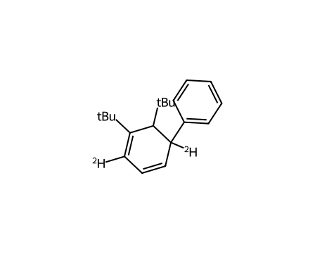 [2H]C1=C(C(C)(C)C)C(C(C)(C)C)C([2H])(c2ccccc2)C=C1